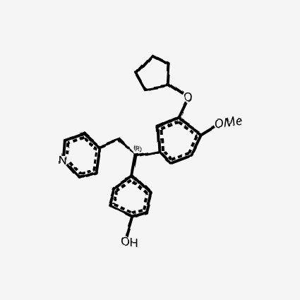 COc1ccc([C@H](Cc2ccncc2)c2ccc(O)cc2)cc1OC1CCCC1